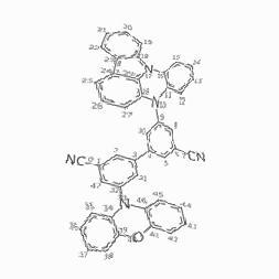 N#Cc1cc(-c2cc(C#N)cc(N3c4ccccc4-n4c5ccccc5c5cccc3c54)c2)cc(N2c3ccccc3Oc3ccccc32)c1